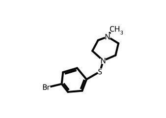 CN1CCN(Sc2ccc(Br)cc2)CC1